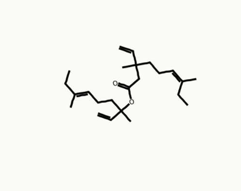 C=CC(C)(CC/C=C(/C)CC)CC(=O)OC(C)(C=C)CC/C=C(\C)CC